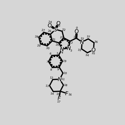 O=C(c1nn(-c2cccc(CN3CCCC(F)(F)C3)c2)c2c1CS(=O)(=O)c1ccccc1-2)N1CCOCC1